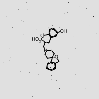 O=C(O)C(Cc1cc(O)ccc1Cl)CN1CCC2(CC1)OCc1ccccc12